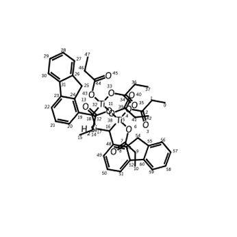 CCC(=O)[O][Ti]([O]C(=O)CC)([O]C(=O)CC)[CH]([SiH2][CH](c1cccc2c1Cc1ccccc1-2)[Ti]([O]C(=O)CC)([O]C(=O)CC)[O]C(=O)CC)c1cccc2c1Cc1ccccc1-2